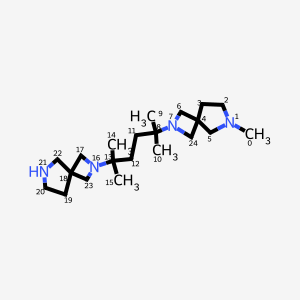 CN1CCC2(C1)CN(C(C)(C)CCC(C)(C)N1CC3(CCNC3)C1)C2